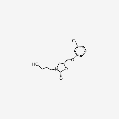 O=C1O[C@H](COc2cccc(Cl)c2)CN1CCCO